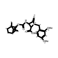 COC(=O)C1C(NC(=O)OC2CC3CCC2(C)C3(C)C)C(=O)N1Cc1ccc(OC)cc1OC